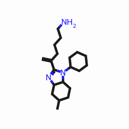 C=C(CCCCN)C1=NC2CC(C)CCC2N1C1CCCCC1